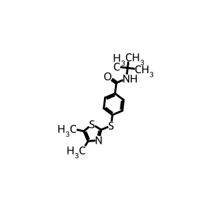 Cc1nc(Sc2ccc(C(=O)NC(C)(C)C)cc2)sc1C